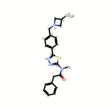 CCN(C(=O)Cc1ccccc1)c1nnc(-c2ccc(CN3CC(C(=O)O)C3)cc2)s1